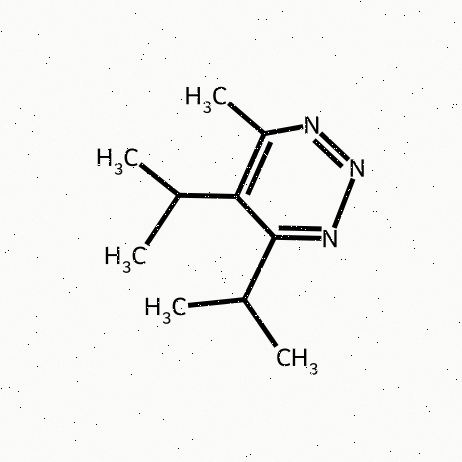 Cc1nnnc(C(C)C)c1C(C)C